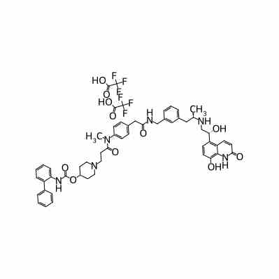 C[C@H](Cc1cccc(CNC(=O)Cc2ccc(N(C)C(=O)CCN3CCC(OC(=O)Nc4ccccc4-c4ccccc4)CC3)cc2)c1)NC[C@H](O)c1ccc(O)c2[nH]c(=O)ccc12.O=C(O)C(F)(F)F.O=C(O)C(F)(F)F